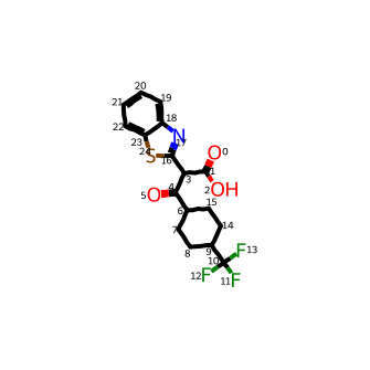 O=C(O)C(C(=O)C1CCC(C(F)(F)F)CC1)c1nc2ccccc2s1